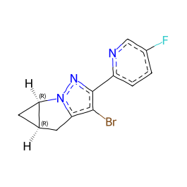 Fc1ccc(-c2nn3c(c2Br)C[C@H]2C[C@H]23)nc1